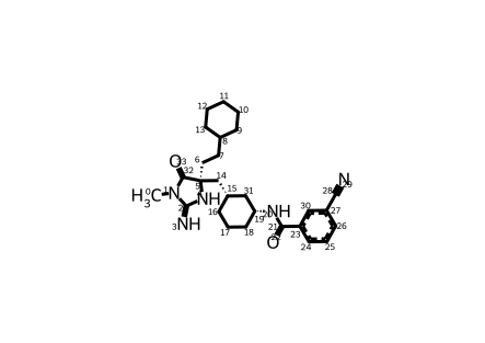 CN1C(=N)N[C@](CCC2CCCCC2)(C[C@H]2CCC[C@@H](NC(=O)c3cccc(C#N)c3)C2)C1=O